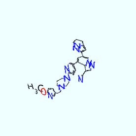 COc1ccc(CN2CCCN(c3ccc(C4=CC(c5cc6n(n5)CCC6)=CN5N=CC(C#N)C45)cn3)CC2)cn1